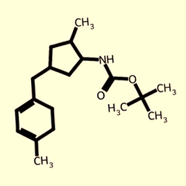 CC1=CC=C(CC2CC(C)C(NC(=O)OC(C)(C)C)C2)CC1